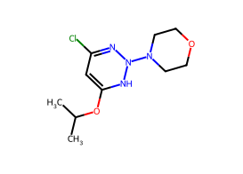 CC(C)OC1=CC(Cl)=NN(N2CCOCC2)N1